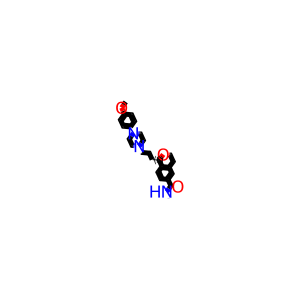 CNC(=O)c1ccc2c(c1)CCO[C@H]2CCCN1CCN(c2ccc(OC)cc2)CC1